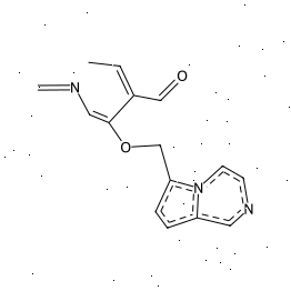 C=N/C=C(OCc1ccc2cnccn12)\C(C=O)=C/C